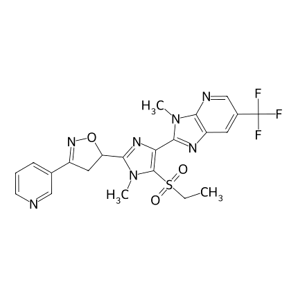 CCS(=O)(=O)c1c(-c2nc3cc(C(F)(F)F)cnc3n2C)nc(C2CC(c3cccnc3)=NO2)n1C